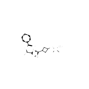 C[C@@H](OC(=O)c1ccccc1)c1nc(C2CC(O[Si](C)(C)C(C)(C)C)C2)no1